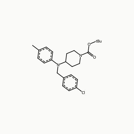 Cc1ccc(N(Cc2ccc(Cl)cc2)C2CCN(C(=O)OC(C)(C)C)CC2)cc1